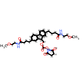 COCCNC(=O)CCCc1ccc2c(c1)C(COC(=O)ON1C(=O)CCC1=O)c1cc(CCCC(=O)NCCOC)ccc1-2